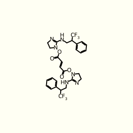 O=C(/C=C/C(=O)ON1CCN=C1NCC(c1ccccc1)C(F)(F)F)ON1CCN=C1NCC(c1ccccc1)C(F)(F)F